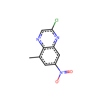 Cc1cc([N+](=O)[O-])cc2nc(Cl)cnc12